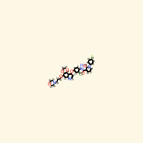 O=C(Nc1ccc(Oc2ccnc3cc(OCCCN4CCOCC4)c4c(c23)OCCO4)cc1Cl)c1cccn(-c2ccc(F)cc2)c1=O